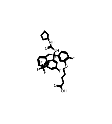 O=C(O)CCCCOc1cc([C@@](Cc2ccccc2)(NC(=O)NC2CCCC2)c2cc(F)cc(C(F)(F)F)c2)ccc1F